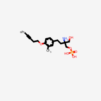 CCCC#CCCOc1ccc(CCC(N)(CO)COP(=O)(O)O)cc1C(F)(F)F